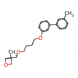 Cc1cccc(-c2cccc(OCCCCOCC3(C)COC3)c2)c1